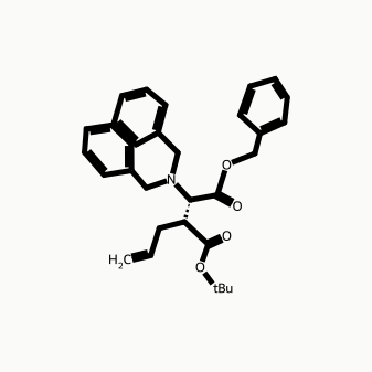 C=CCC(C(=O)OC(C)(C)C)[C@@H](C(=O)OCc1ccccc1)N(Cc1ccccc1)Cc1ccccc1